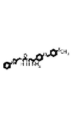 CSc1ccc(COc2ccc(/C(N)=C/NC(=O)NCC3CN(c4ccccc4)C3)cc2)cc1